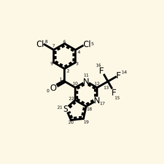 O=C(c1cc(Cl)cc(Cl)c1)c1nc(C(F)(F)F)nc2ccsc12